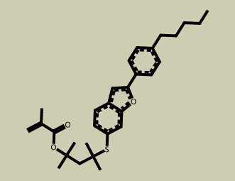 C=C(C)C(=O)OC(C)(C)CC(C)(C)Sc1ccc2cc(-c3ccc(CCCCC)cc3)oc2c1